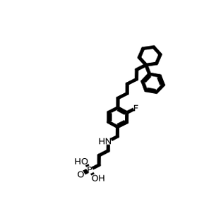 O=P(O)(O)CCCNCc1ccc(CCCCCC2(c3ccccc3)CCCCC2)c(F)c1